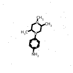 CC1CN(c2ccc(N)cc2)C(C)CN1C